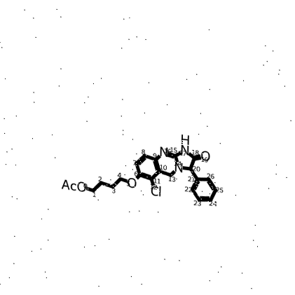 CC(=O)OCCCCOc1ccc2c(c1Cl)CN1C(=N2)NC(=O)C1c1ccccc1